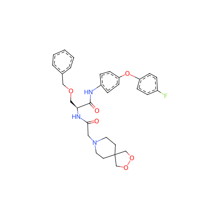 O=C(CN1CCC2(CC1)COOC2)N[C@@H](COCc1ccccc1)C(=O)Nc1ccc(Oc2ccc(F)cc2)cc1